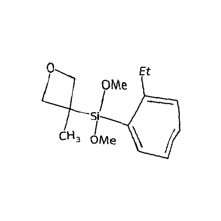 CCc1ccccc1[Si](OC)(OC)C1(C)COC1